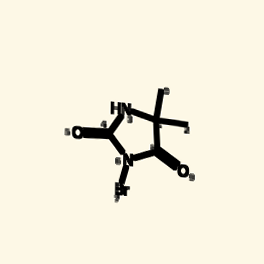 CC1(C)NC(=O)N(Br)C1=O